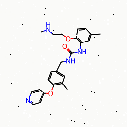 CNCCOc1ccc(C)cc1NC(=O)NCc1ccc(Oc2ccncc2)c(C)c1